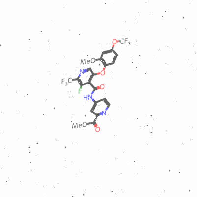 COC(=O)c1cc(NC(=O)c2c(Oc3ccc(OC(F)(F)F)cc3OC)cnc(C(F)(F)F)c2F)ccn1